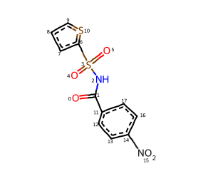 O=C(NS(=O)(=O)c1cccs1)c1ccc([N+](=O)[O-])cc1